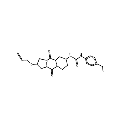 C=CCOC1CC2C(=O)N3CCC(NC(=O)Nc4ccc(CC)cc4)CC3C(=O)N2C1